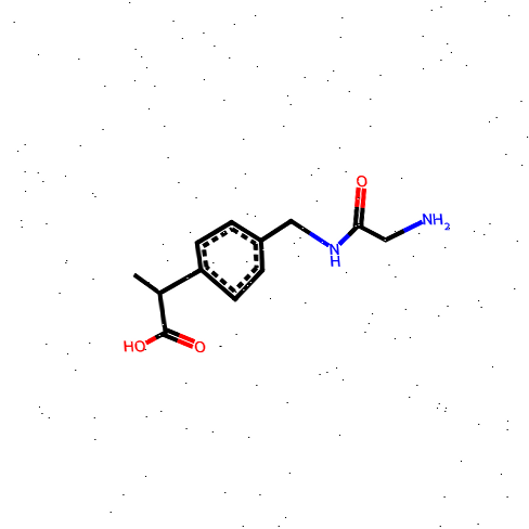 CC(C(=O)O)c1ccc(CNC(=O)CN)cc1